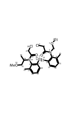 CCOCN(C(=O)CCl)c1c(C)cccc1CC.CCc1cccc(C)c1N(C(=O)CCl)C(C)COC